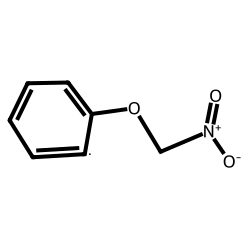 O=[N+]([O-])COc1[c]cccc1